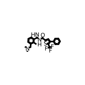 Cc1c(CN(C)C)cccc1C(=N)NC(=O)c1cc(-c2ccccc2)c(C(F)(F)F)s1